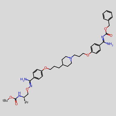 CC(C)[C@H](CON=C(N)c1ccc(OCCCC2CCN(CCCOc3ccc(C(N)=NC(=O)OCc4ccccc4)cc3)CC2)cc1)NC(=O)OC(C)(C)C